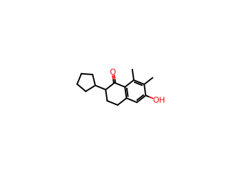 Cc1c(O)cc2c(c1C)C(=O)C(C1CCCC1)CC2